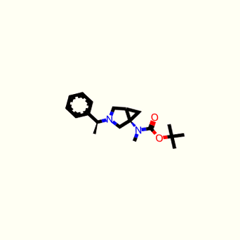 C[C@@H](c1ccccc1)N1CC2C[C@]2(N(C)C(=O)OC(C)(C)C)C1